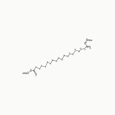 CCCCCCOC(=O)CCCCCCCCCCCCCCCCCCC(=O)OCCCCCC